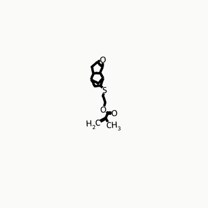 C=C(C)C(=O)OCCSC1CC2CC1C1C2CC2OC21